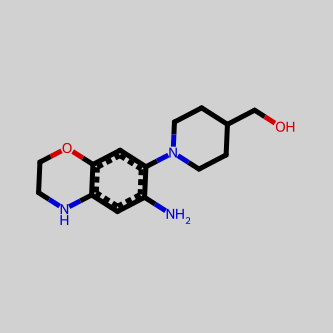 Nc1cc2c(cc1N1CCC(CO)CC1)OCCN2